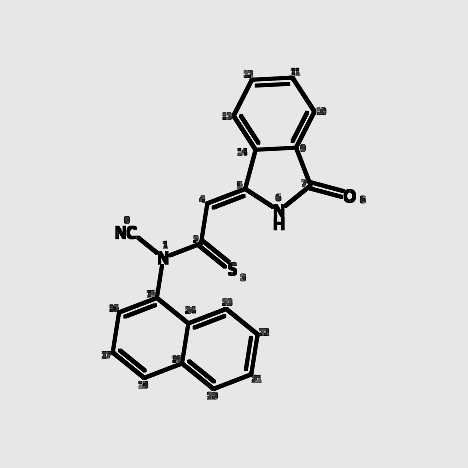 N#CN(C(=S)C=C1NC(=O)c2ccccc21)c1cccc2ccccc12